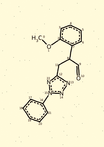 COc1ccccc1C(C=O)Cc1nnn(-c2ccccc2)n1